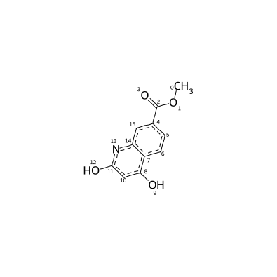 COC(=O)c1ccc2c(O)cc(O)nc2c1